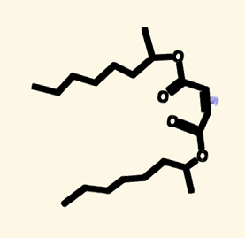 CCCCCCC(C)OC(=O)/C=C\C(=O)OC(C)CCCCCC